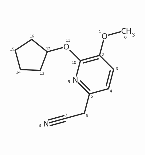 COc1ccc(CC#N)nc1OC1CCCC1